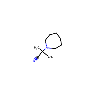 CC(C)(C#N)N1CCCCCC1